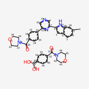 Cc1ccc2cc(-c3cncc(-c4ccc(C(=O)N5CCOCC5)cc4)n3)[nH]c2c1.O=C(c1ccc(B(O)O)cc1)N1CCOCC1